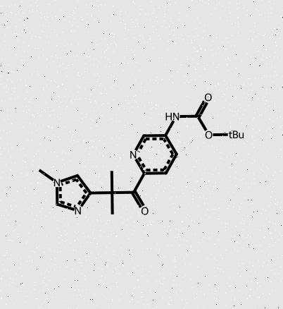 Cn1cnc(C(C)(C)C(=O)c2ccc(NC(=O)OC(C)(C)C)cn2)c1